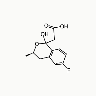 C[C@@H]1Cc2cc(F)ccc2C(O)(CC(=O)O)O1